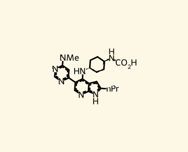 CCCc1cc2c(N[C@H]3CC[C@H](NC(=O)O)CC3)c(-c3cc(NC)ncn3)cnc2[nH]1